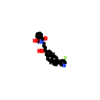 C[C@]12CC[C@@H]3c4ccc(C(O)CCCNC(=O)c5ccccc5O)cc4CC[C@H]3[C@@H]1CC=C2c1cncc(F)c1